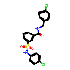 O=C(NCc1ccc(Cl)cc1)c1cccc(S(=O)(=O)Nc2ccc(Cl)cc2)c1